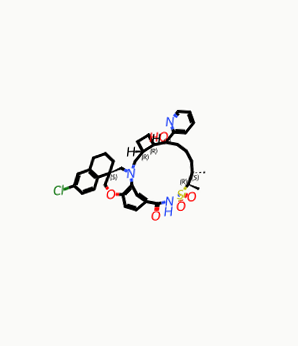 C[C@@H]1[C@@H](C)CCC[C@@](O)(c2ccccn2)[C@@H]2CC[C@H]2CN2C[C@@]3(CCCc4cc(Cl)ccc43)COc3ccc(cc32)C(=O)NS1(=O)=O